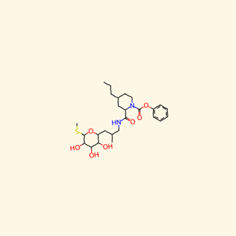 CCCC1CCN(C(=O)Oc2ccccc2)C(C(=O)NCC(C)CC2OC(SC)C(O)C(O)C2O)C1